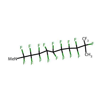 CNC(F)(F)C(F)(F)C(F)(F)C(F)(F)C(F)(F)C(F)(F)C(F)(F)C(F)(F)C(C)(F)C(F)(F)F